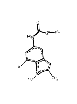 Cc1cc2cc(NC(=O)OC(C)(C)C)cc(Br)c2n1C